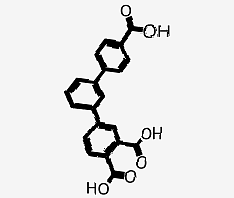 O=C(O)c1ccc(-c2cccc(-c3ccc(C(=O)O)c(C(=O)O)c3)c2)cc1